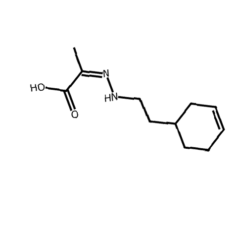 C/C(=N/NCCC1CC=CCC1)C(=O)O